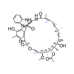 CO[C@H]1/C=C/O[C@@]2(C)Oc3c(C)c(O)c4c(=O)c(c5[nH]c6ccccc6nc-5c4c3C2=O)NC(=O)/C(C)=C\C=C\[C@H](C)C[C@@H](C)[C@@H](O)[C@@H](C)[C@H](OC(C)=O)[C@@H]1C